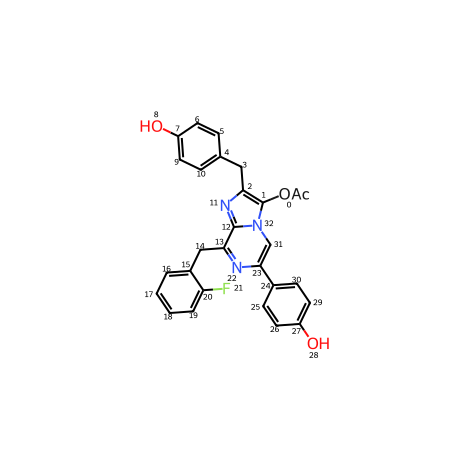 CC(=O)Oc1c(Cc2ccc(O)cc2)nc2c(Cc3ccccc3F)nc(-c3ccc(O)cc3)cn12